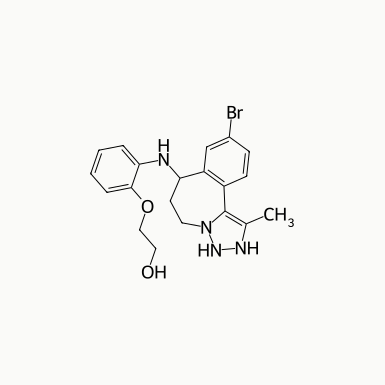 CC1=C2c3ccc(Br)cc3C(Nc3ccccc3OCCO)CCN2NN1